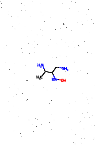 CC(N)C(CN)NO